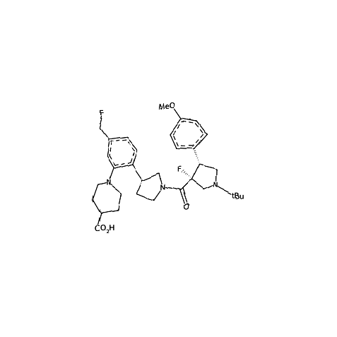 COc1ccc([C@@H]2CN(C(C)(C)C)C[C@@]2(F)C(=O)N2CCC(c3ccc(CF)cc3N3CCC(C(=O)O)CC3)C2)cc1